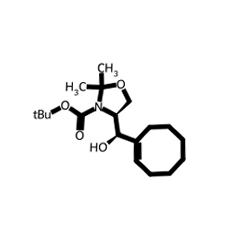 CC(C)(C)OC(=O)N1[C@H]([C@H](O)C2=CCCCCCC2)COC1(C)C